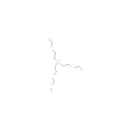 CCOCC[N+]([O-])(CCOCC)CCOCOC